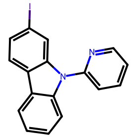 Ic1ccc2c3ccccc3n(-c3ccccn3)c2c1